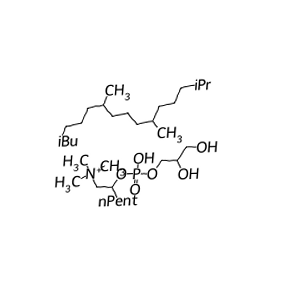 CCC(C)CCCC(C)CCCC(C)CCCC(C)C.CCCCCC(C[N+](C)(C)C)OP(=O)(O)OCC(O)CO